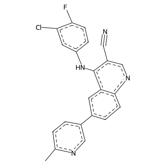 Cc1ccc(-c2ccc3ncc(C#N)c(Nc4ccc(F)c(Cl)c4)c3c2)cn1